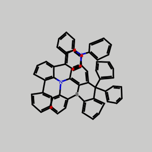 c1ccc(-c2cccc(-c3ccccc3)c2N2c3ccccc3B3c4ccccc4C(c4ccccc4)(c4ccccc4)c4cc(N(c5ccccc5)c5ccccc5)cc2c43)cc1